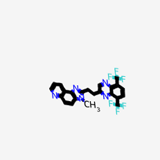 Cn1c(CCC2=NC3C(=C(C(F)(F)F)C=CC3C(F)(F)F)N=C2)nc2c3cccnc3ccc21